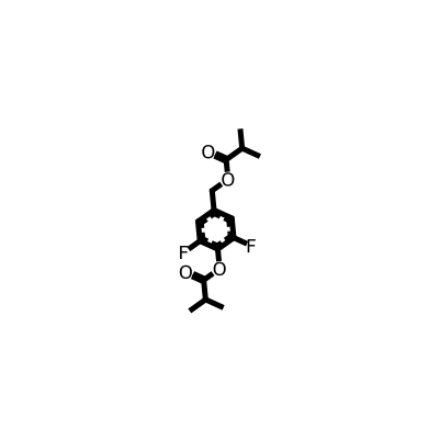 CC(C)C(=O)OCc1cc(F)c(OC(=O)C(C)C)c(F)c1